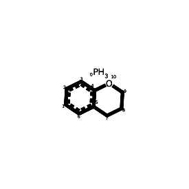 P.c1ccc2c(c1)CCCO2